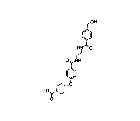 O=C(NCCNC(=O)c1ccc(O[C@H]2CC[C@@H](C(=O)O)CC2)cc1)c1ccc(CO)cc1